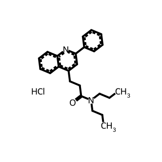 CCCN(CCC)C(=O)CCc1cc(-c2ccccc2)nc2ccccc12.Cl